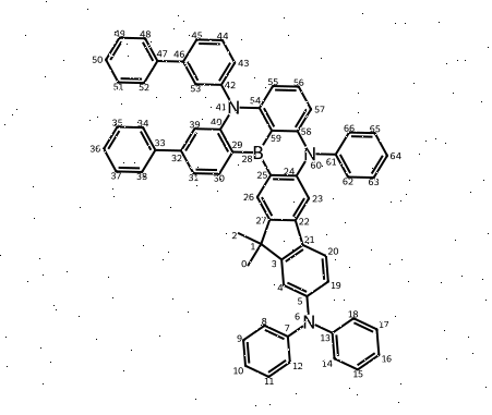 CC1(C)c2cc(N(c3ccccc3)c3ccccc3)ccc2-c2cc3c(cc21)B1c2ccc(-c4ccccc4)cc2N(c2cccc(-c4ccccc4)c2)c2cccc(c21)N3c1ccccc1